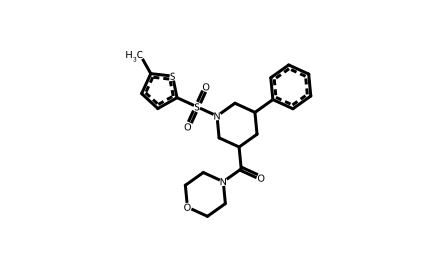 Cc1ccc(S(=O)(=O)N2CC(C(=O)N3CCOCC3)CC(c3ccccc3)C2)s1